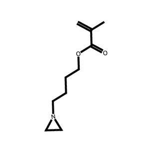 C=C(C)C(=O)OCCCCN1CC1